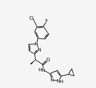 C[C@H](C(=O)Nc1cc(C2CC2)[nH]n1)c1ccn(-c2ccc(F)c(Cl)c2)n1